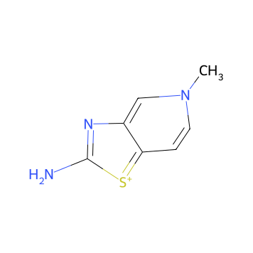 Cn1ccc2[s+]c(N)nc-2c1